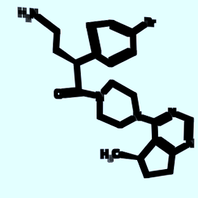 C[C@@H]1CCc2ncnc(N3CCN(C(=O)[C@@H](CCN)c4ccc(Br)cc4)CC3)c21